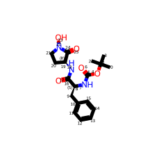 CC(C)(C)OC(=O)N[C@@H](Cc1ccccc1)C(=O)N[C@@H]1CCN(O)C1=O